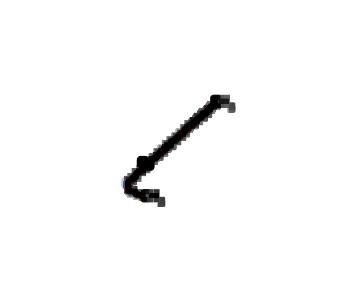 CCCCC/C=C\C/C=C\CCCCCCCC(=O)OCCCCCCCCCCCCCCCCCCCCCCCCCCCCCCC